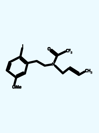 CC=CCN(CCc1cc(OC)ccc1I)C(=O)C(F)(F)F